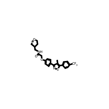 Cc1c(-c2ccc(OCC(=O)NCC3CCOCC3)cc2)nsc1-c1ccc(C(F)(F)F)cc1